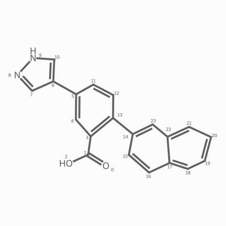 O=C(O)c1cc(-c2cn[nH]c2)ccc1-c1ccc2ccccc2c1